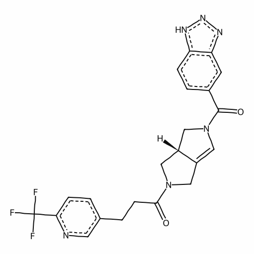 O=C(c1ccc2[nH]nnc2c1)N1C=C2CN(C(=O)CCc3ccc(C(F)(F)F)nc3)C[C@@H]2C1